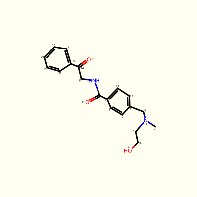 CN(CCO)Cc1ccc(C(=O)NCC(=O)c2ccccc2)cc1